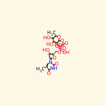 Cc1cn([C@H]2C[C@H](O)[C@@H](COP(=O)(O)OP(=O)(O)O[C@@H]3O[C@@H](C)[C@H](O)[C@@H](O)[C@H]3O)O2)c(=O)[nH]c1=O